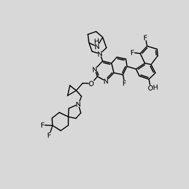 Oc1cc(-c2ccc3c(N4CC5CCC(C4)N5)nc(OCC4(CN5CCC6(CCC(F)(F)CC6)C5)CC4)nc3c2F)c2c(F)c(F)ccc2c1